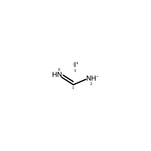 N=C[NH-].[I+]